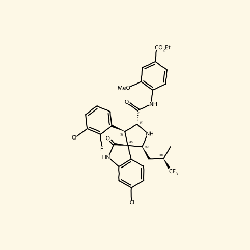 CCOC(=O)c1ccc(NC(=O)[C@@H]2N[C@@H](C[C@@H](C)C(F)(F)F)[C@@]3(C(=O)Nc4cc(Cl)ccc43)[C@H]2c2cccc(Cl)c2F)c(OC)c1